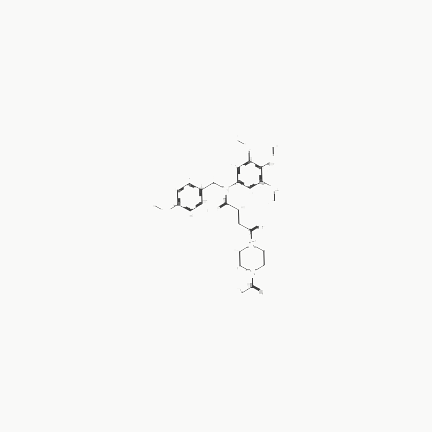 COc1ccc(CN(C(=O)CCC(=O)N2CCN(C(C)=O)CC2)c2cc(OC)c(OC)c(OC)c2)cc1